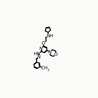 Cc1cccc(C=NNc2cc(N3CCOCC3)cc(OCCNC3CC=CC3)n2)c1